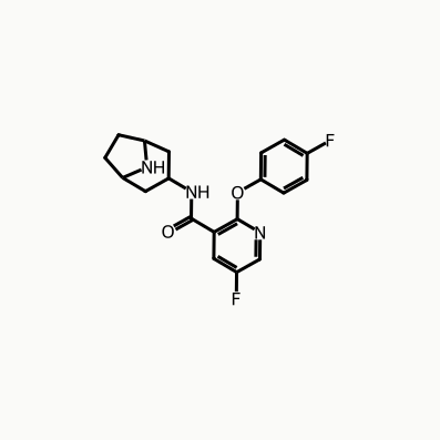 O=C(NC1CC2CCC(C1)N2)c1cc(F)cnc1Oc1ccc(F)cc1